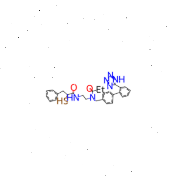 CCC(=O)N(CCNC(=O)[C@@H](S)Cc1ccccc1)Cc1ccc(-c2ccccc2-c2nnn[nH]2)cc1